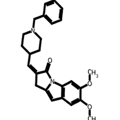 COc1cc2cc3n(c2cc1OC)C(=O)C(=CC1CCN(Cc2ccccc2)CC1)C3